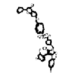 O=C(NS(=O)(=O)c1ccc(COc2ccc3c(=O)cc(-c4ccccc4)oc3c2)cc1)c1ccc(CN2C(=O)C(c3ccc(F)cc3F)=C(c3ccc(F)cc3F)C2=O)cc1